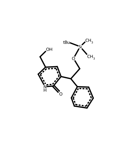 CC(C)(C)[Si](C)(C)OCC(c1ccccc1)c1cc(CO)c[nH]c1=O